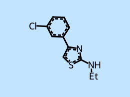 CCNc1nc(-c2cccc(Cl)c2)cs1